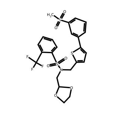 CS(=O)(=O)c1cccc(-c2ccc(CN(CC3OCCO3)S(=O)(=O)c3ccccc3C(F)(F)F)s2)c1